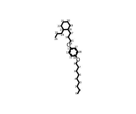 CCCCCCCCCOc1ccc(OCCCC2CCCCC2CCC)cc1